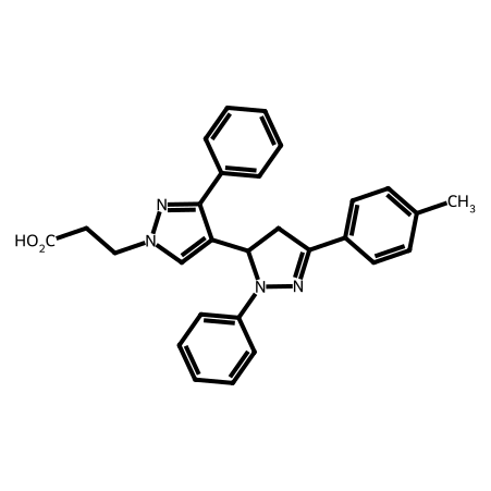 Cc1ccc(C2=NN(c3ccccc3)C(c3cn(CCC(=O)O)nc3-c3ccccc3)C2)cc1